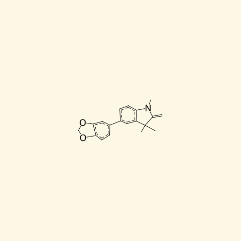 C=C1N(C)c2ccc(-c3ccc4c(c3)OCO4)cc2C1(C)C